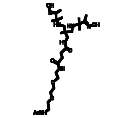 CC(=O)NCCOCCOCCNC(=O)CCC(=O)NCC(C)(CNC(C)(C)/C(C)=N/O)CNC(C)(C)/C(C)=N/O